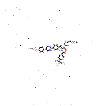 CCCCCCCOc1ccc(-c2cnc(-c3ccc(C[C@H](NC(=O)c4ccc(C(C)(C)CC)cc4)C(=O)N4CC[C@H](CC(=O)O)C4)cc3)nc2)cc1